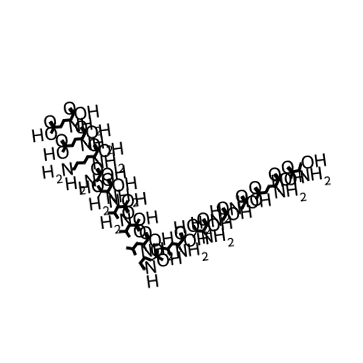 CC(C)C[C@H](N)C(=O)O.CC(C)C[C@H](N)C(=O)O.CC(C)[C@H](N)C(=O)O.CC(C)[C@H](N)C(=O)O.C[C@@H](O)[C@H](N)C(=O)O.C[C@@H](O)[C@H](N)C(=O)O.NCC(=O)O.NCC(=O)O.NCC(=O)O.NCCCC[C@H](N)C(=O)O.N[C@@H](CCC(=O)O)C(=O)O.N[C@@H](CCC(=O)O)C(=O)O.N[C@@H](CCC(=O)O)C(=O)O.N[C@@H](CO)C(=O)O.O=C(O)[C@@H]1CCCN1